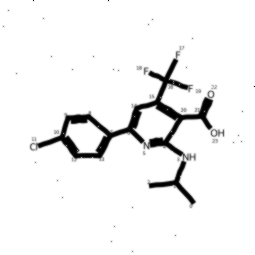 CC(C)Nc1nc(-c2ccc(Cl)cc2)cc(C(F)(F)F)c1C(=O)O